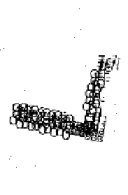 CC.CC.CC.CC.CC.CC.CC.O=P([O-])([O-])OP(=O)([O-])[O-].O=P([O-])([O-])OP(=O)([O-])[O-].O=P([O-])([O-])OP(=O)([O-])[O-].O=P([O-])([O-])OP(=O)([O-])[O-].O=P([O-])([O-])OP(=O)([O-])[O-].O=P([O-])([O-])OP(=O)([O-])[O-].O=P([O-])([O-])OP(=O)([O-])[O-].[Tc+7].[Tc+7].[Tc+7].[Tc+7]